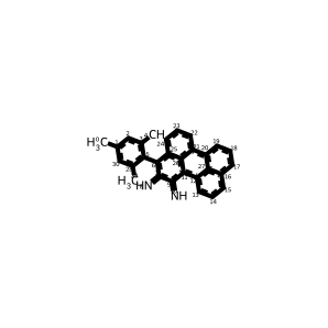 Cc1cc(C)c(-c2c(=N)c(=N)c3c4cccc5cccc(c6cccc2c63)c54)c(C)c1